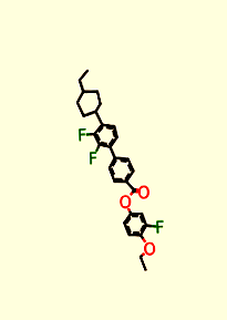 CCOc1ccc(OC(=O)c2ccc(-c3ccc(C4CCC(CC)CC4)c(F)c3F)cc2)cc1F